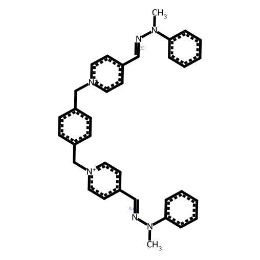 CN(/N=C/c1cc[n+](Cc2ccc(C[n+]3ccc(/C=N/N(C)c4ccccc4)cc3)cc2)cc1)c1ccccc1